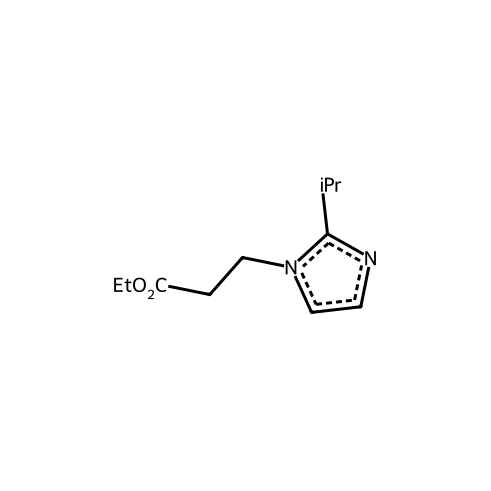 CCOC(=O)CCn1ccnc1C(C)C